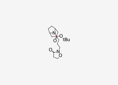 CC(C)(C)OC(=O)N1C2CCC1CC(CCCN1OCCC1=O)C2